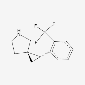 FC(F)(F)c1ccccc1[C@@H]1C[C@]12CCNC2